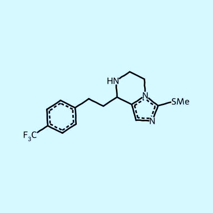 CSc1ncc2n1CCNC2CCc1ccc(C(F)(F)F)cc1